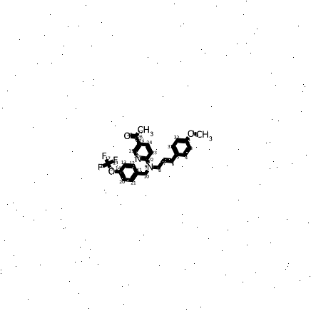 COc1ccc(C=CCN(Cc2ccc(OC(F)(F)F)cc2)c2ccc(C(C)=O)cn2)cc1